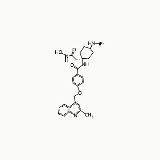 Cc1cc(COc2ccc(C(=O)N[C@]3(CC(=O)NO)CC[C@H](NC(C)C)CC3)cc2)c2ccccc2n1